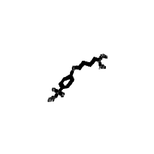 CCCCN(CCCC)CCCCOc1ccc(S(=O)(=O)CCC)cc1